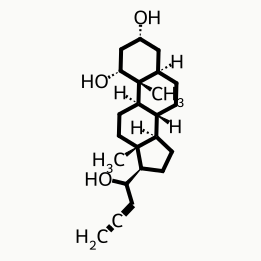 C=C=CC(O)[C@@H]1CC[C@@H]2[C@H]3CC[C@@H]4C[C@@H](O)C[C@@H](O)[C@@]4(C)[C@@H]3CC[C@]21C